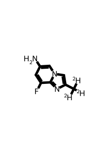 [2H]C([2H])([2H])c1cn2cc(N)cc(F)c2n1